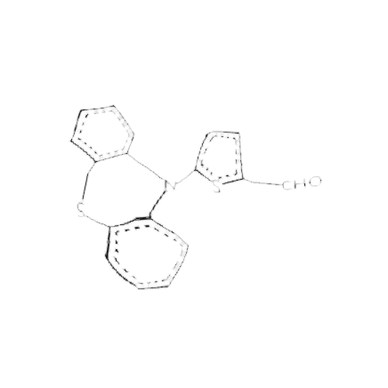 O=Cc1ccc(N2c3ccccc3Sc3ccccc32)s1